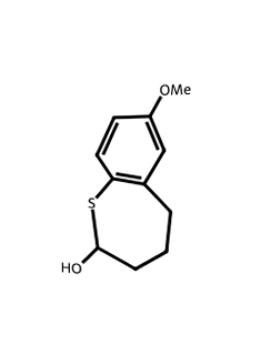 COc1ccc2c(c1)CCCC(O)S2